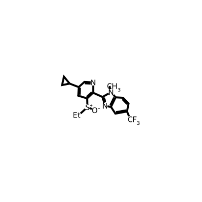 CC[S+]([O-])c1cc(C2CC2)cnc1-c1nc2cc(C(F)(F)F)ccc2n1C